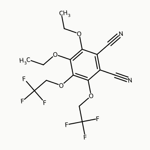 CCOc1c(C#N)c(C#N)c(OCC(F)(F)F)c(OCC(F)(F)F)c1OCC